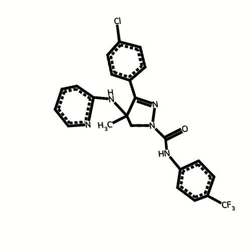 CC1(Nc2ccccn2)CN(C(=O)Nc2ccc(C(F)(F)F)cc2)N=C1c1ccc(Cl)cc1